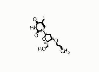 C=CCO[C@H]1C[C@H](n2cc(I)c(=O)[nH]c2=O)O[C@@H]1CO